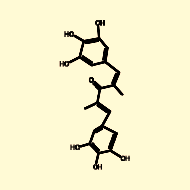 CC(=Cc1cc(O)c(O)c(O)c1)C(=O)C(C)=Cc1cc(O)c(O)c(O)c1